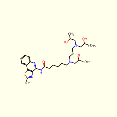 CCCCCCCCCCC(O)CN(CCCCCC(=O)Nc1nc2ccccc2c2sc(CCC)nc12)CCCN(CC(C)O)CC(O)CCCCCCCCCC